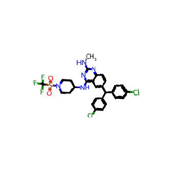 CNc1nc(NC2CCN(S(=O)(=O)C(F)(F)F)CC2)c2cc(C(c3ccc(Cl)cc3)c3ccc(Cl)cc3)ccc2n1